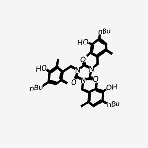 CCCCc1cc(C)c(Cn2c(=O)n(Cc3c(C)cc(CCCC)c(O)c3C)c(=O)n(Cc3c(C)cc(CCCC)c(O)c3C)c2=O)c(C)c1O